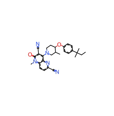 CCC(C)(C)c1ccc(OC2CCN(c3c(C#N)c(=O)n(C)c4ccc(C#N)nc34)CC2C)cc1